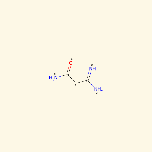 N=C(N)[CH]C(N)=O